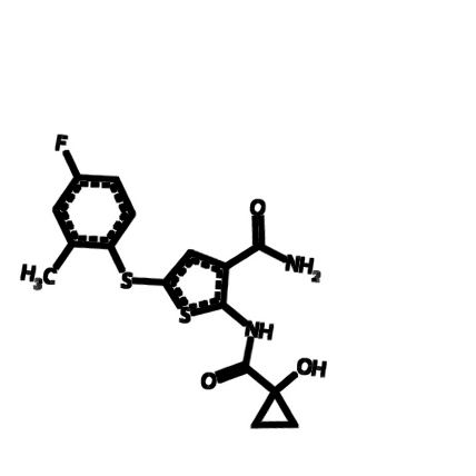 Cc1cc(F)ccc1Sc1cc(C(N)=O)c(NC(=O)C2(O)CC2)s1